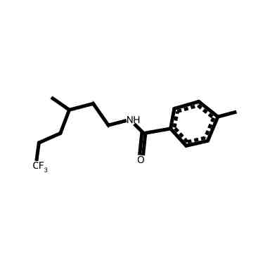 Cc1ccc(C(=O)N[CH][CH]C(C)CCC(F)(F)F)cc1